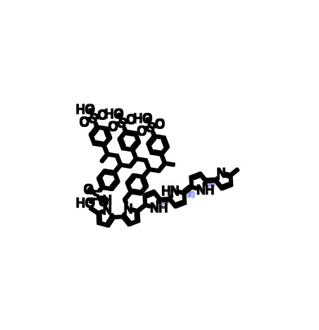 CC1=N/C(=c2\cc/c(=c3/cc/c(=C4/C=CC(c5ccc(-c6ccc(C)[nH]6)n5Cc5ccc(C(CC(C)c6ccc(S(=O)(=O)O)cc6)CC(CC(CC(C)c6ccc(S(=O)(=O)O)cc6)c6ccc(S(=O)(=O)O)cc6)c6ccc(S(=O)(=O)O)cc6)cc5)N4)[nH]3)[nH]2)C=C1